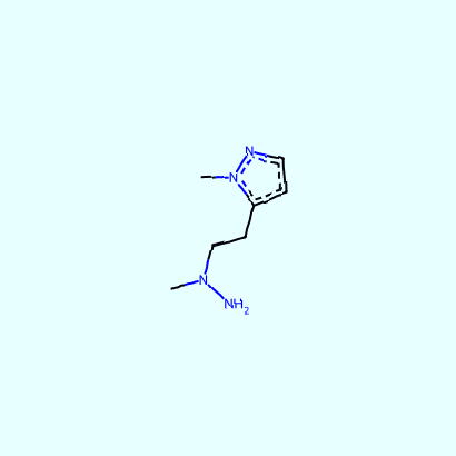 CN(N)CCc1ccnn1C